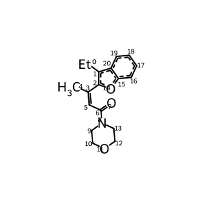 CCc1c(/C(C)=C\C(=O)N2CCOCC2)oc2ccccc12